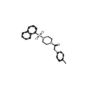 Cc1ccc(CC(=O)N2CCN(S(=O)(=O)c3cccc4ccccc34)CC2)cc1